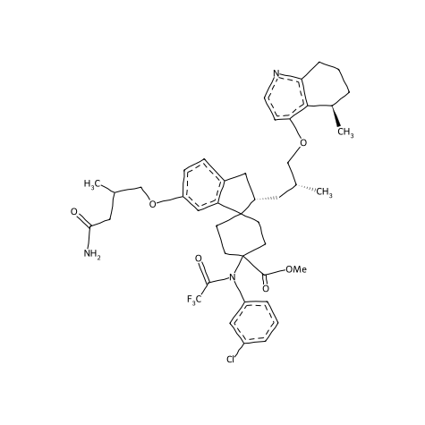 COC(=O)C1(N(C(=O)C(F)(F)F)c2cccc(Cl)c2)CCC2(CC1)c1cc(OCC(C)CC(N)=O)ccc1C[C@@H]2C[C@@H](C)COc1ccnc2c1[C@H](C)CCC2